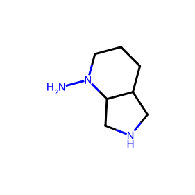 NN1CCCC2CNCC21